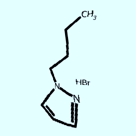 Br.CCCCn1cccn1